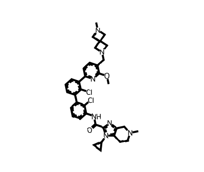 COc1nc(-c2cccc(-c3cccc(NC(=O)c4nc5c(n4C4CC4)CCN(C)C5)c3Cl)c2Cl)ccc1CN1CC2(CN(C)C2)C1